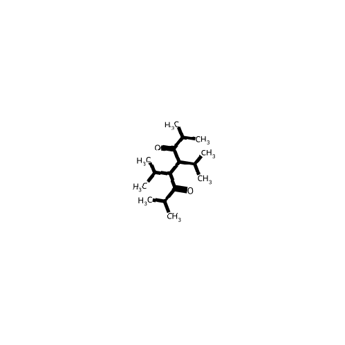 CC(C)C(=O)C(C(C)C)C(C(=O)C(C)C)C(C)C